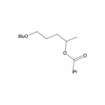 CC(C)COCCCC(C)OC(=O)C(C)C